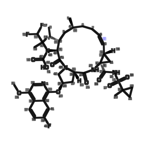 CC[C@@H]1C[C@@H](C)CC/C=C\[C@@H]2C[C@@]2(C(=O)NS(=O)(=O)C2(C)CC2)NC(=O)[C@@H]2C[C@@H](Oc3ncc(OC)c4ccc(F)cc34)CN2C(=O)[C@H]1N(C(=O)O)C(C)(C)C(F)F